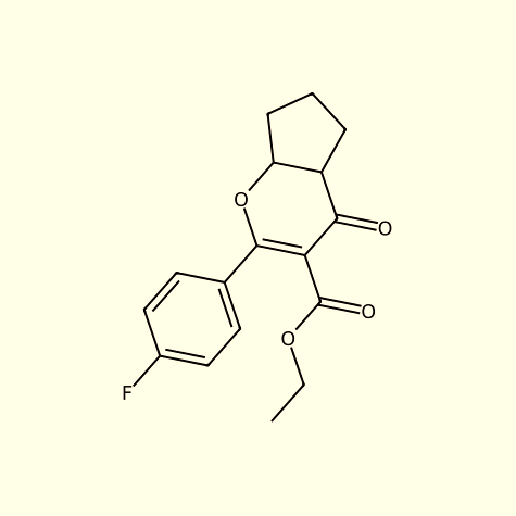 CCOC(=O)C1=C(c2ccc(F)cc2)OC2CCCC2C1=O